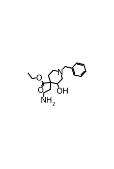 CCOC(=O)C1(CCN)CCN(Cc2ccccc2)CC1O